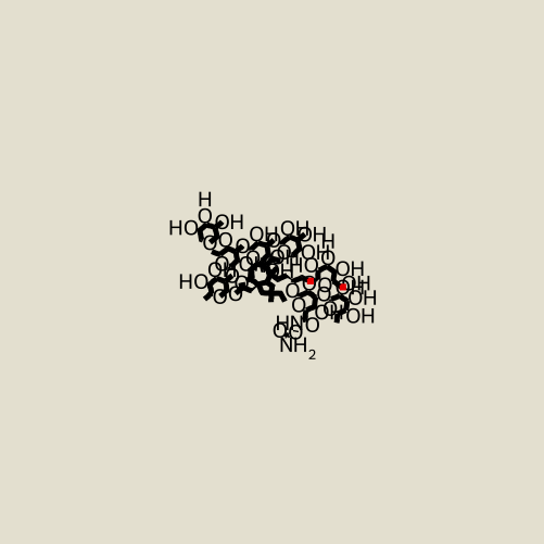 CCC1CC=C(C)[C@@](CC(=O)O[C@@H]2OC(C)[C@H](O)C(O)C2OC2OC(C)[C@H](O[C@@H]3OC[C@@H](O)C(O)C3O)C(O[C@@H]3OC(CO)[C@@H](O)C(O[C@@H]4OC[C@@H](O)C(O)C4O)C3O)[C@@H]2O)(CC(C)(C)CC)C(C)C1(C)CC[C@@H](CC)O[C@@H]1OC(C(=O)NOC(N)=O)[C@@H](O)C(OC2OC(C)C(O)C(O)C2O)C1O[C@@H]1OC(CO)[C@H](O)C(O)C1O